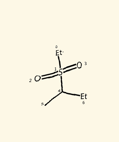 C[CH]S(=O)(=O)C(C)CC